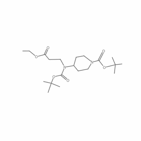 CCOC(=O)CCN(C(=O)OC(C)(C)C)C1CCN(C(=O)OC(C)(C)C)CC1